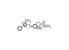 COC(=O)C1CCc2cc(OCc3nc(-c4ccccc4)oc3C)ccc2C1O